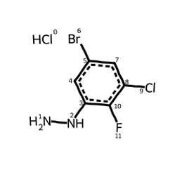 Cl.NNc1cc(Br)cc(Cl)c1F